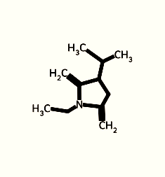 C=C1CC(C(C)C)C(=C)N1CC